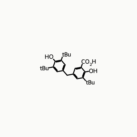 CC(C)(C)c1cc(Cc2cc(C(C)(C)C)c(O)c(C(C)(C)C)c2)cc(C(=O)O)c1O